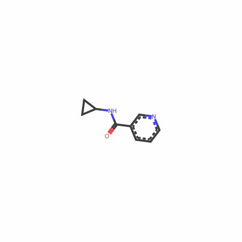 O=C(NC1CC1)c1cccnc1